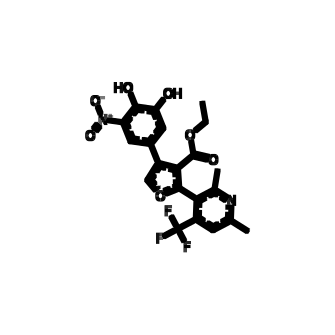 CCOC(=O)c1c(-c2cc(O)c(O)c([N+](=O)[O-])c2)coc1-c1c(C(F)(F)F)cc(C)nc1C